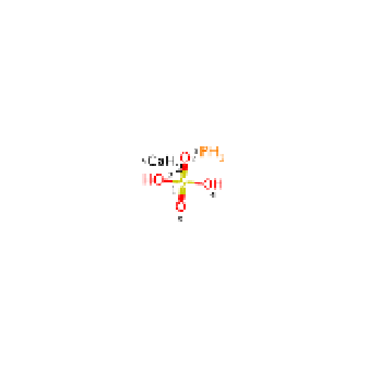 O=S(=O)(O)O.P.[CaH2]